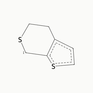 [C]1SCCc2ccsc21